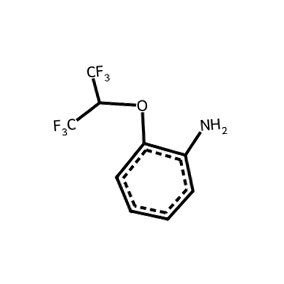 Nc1ccccc1OC(C(F)(F)F)C(F)(F)F